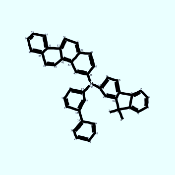 CC1(C)c2ccccc2-c2ccc(N(c3cccc(-c4ccccc4)c3)c3ccc4ccc5c6ccccc6ccc5c4c3)cc21